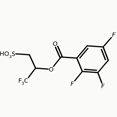 O=C(OC(CS(=O)(=O)O)C(F)(F)F)c1cc(F)cc(F)c1F